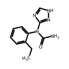 CCc1ccccc1N(C(N)=O)c1nc[nH]n1